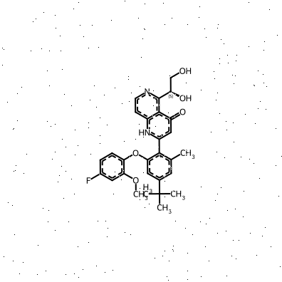 COc1cc(F)ccc1Oc1cc(C(C)(C)C)cc(C)c1-c1cc(=O)c2c([C@H](O)CO)nccc2[nH]1